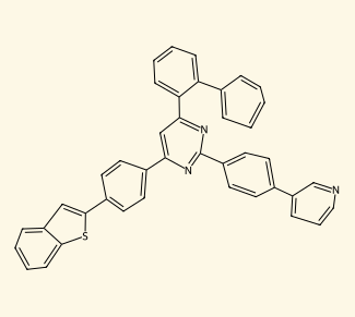 c1ccc(-c2ccccc2-c2cc(-c3ccc(-c4cc5ccccc5s4)cc3)nc(-c3ccc(-c4cccnc4)cc3)n2)cc1